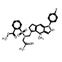 COC(=O)c1ccccc1S(=O)(=O)N(C[C@H]1CCC2=C1[C@@H](C)C1=CNN(c3ccc(F)cc3)C1=C2)C[C@H](C)O